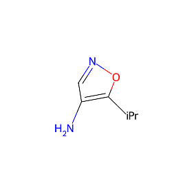 CC(C)c1oncc1N